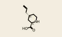 C=CC[C@@H]1CCN[C@@H](C(=O)O)C1